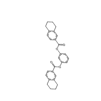 O=C(Oc1cccc(OC(=O)c2ccc3c(c2)CCCC3)c1)c1ccc2c(c1)CCCC2